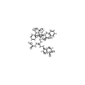 CCC(c1ccccc1)[C@](CC)(NP(=O)(CCN(CCC(=O)OC)CCn1cnc2c(=O)[nH]cnc21)N[C@@H](Cc1ccccc1)C(=O)O)C(=O)O